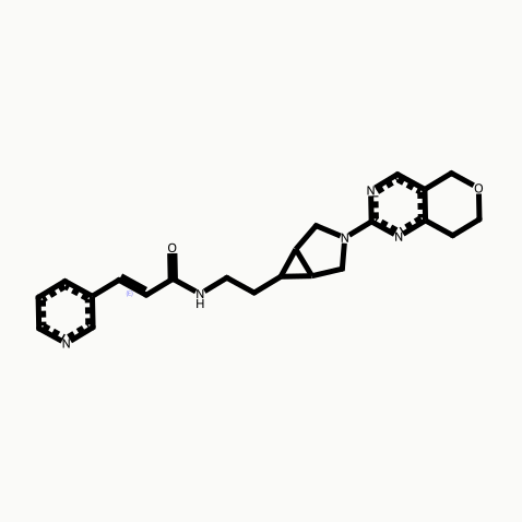 O=C(/C=C/c1cccnc1)NCCC1C2CN(c3ncc4c(n3)CCOC4)CC12